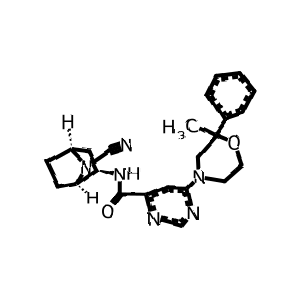 CC1(c2ccccc2)CN(c2cc(C(=O)N[C@@H]3C[C@@H]4CC[C@H]3N4C#N)ncn2)CCO1